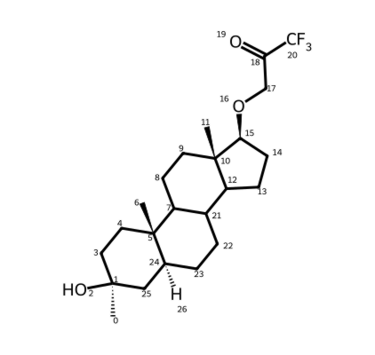 C[C@]1(O)CC[C@]2(C)C3CC[C@@]4(C)C(CC[C@@H]4OCC(=O)C(F)(F)F)C3CC[C@H]2C1